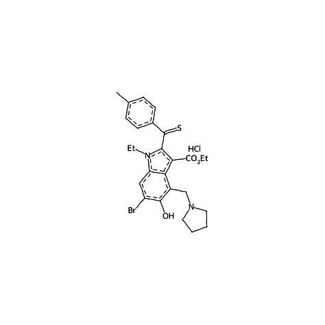 CCOC(=O)c1c(C(=S)c2ccc(C)cc2)n(CC)c2cc(Br)c(O)c(CN3CCCC3)c12.Cl